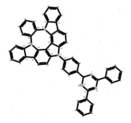 c1ccc(C2=NC(c3ccc(-n4c5ccc6c7ccccc7n7c8ccccc8n8c9ccccc9c9ccc4c(c5c67)c98)cc3)NC(c3ccccc3)=N2)cc1